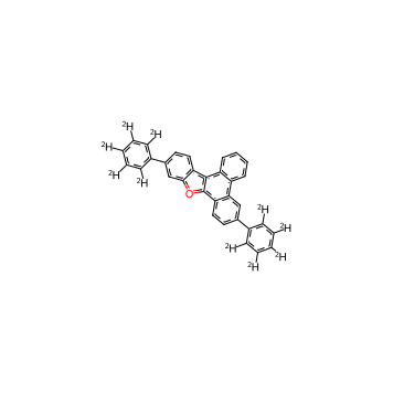 [2H]c1c([2H])c([2H])c(-c2ccc3c(c2)oc2c4ccc(-c5c([2H])c([2H])c([2H])c([2H])c5[2H])cc4c4ccccc4c32)c([2H])c1[2H]